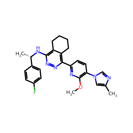 COc1nc(-c2nnc(N[C@@H](C)c3ccc(F)cc3)c3c2CCCC3)ccc1-n1cnc(C)c1